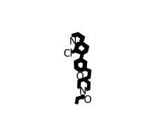 CCC(=O)N1CCC2(CCc3cc(-c4ccc5cccnc5c4Cl)ccc3O2)CC1